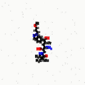 CCCCC(C)(C)C(=O)NC[C@H](O)[C@@H](N)C[C@@H](C(C)C)[C@@H](O)c1ccc2cnn(CCCOCC)c2c1